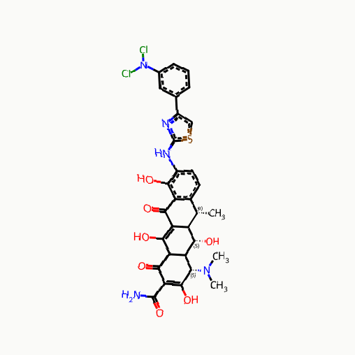 C[C@H]1c2ccc(Nc3nc(-c4cccc(N(Cl)Cl)c4)cs3)c(O)c2C(=O)C2=C(O)C3C(=O)C(C(N)=O)=C(O)[C@@H](N(C)C)C3[C@@H](O)C21